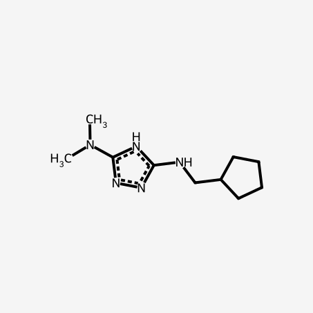 CN(C)c1nnc(NCC2CCCC2)[nH]1